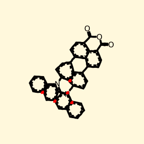 O=C1OC(=O)c2ccc(-c3ccc(N(c4ccccc4)c4ccccc4)cc3)c3c(-c4ccc(N(c5ccccc5)c5ccccc5)cc4)ccc1c23